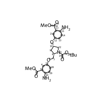 COC(=O)c1cc(OC[C@H]2C[C@H](Oc3ccc(N)c(C(=O)OC)c3)CN2C(=O)OC(C)(C)C)ccc1N